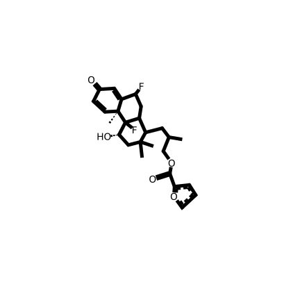 CC(COC(=O)c1ccco1)CC1C2CC(F)C3=CC(=O)C=C[C@]3(C)C2(F)[C@@H](O)CC1(C)C